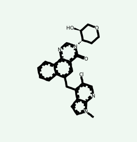 Cn1ccc2c(Cc3cc4c(=O)n([C@H]5CCOC[C@@H]5O)cnc4c4ccccc34)c(Cl)cnc21